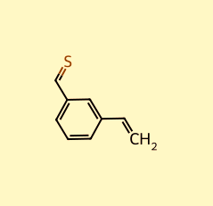 C=Cc1cccc(C=S)c1